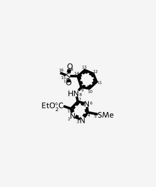 CCOC(=O)c1nnc(SC)nc1Nc1ccccc1S(C)(=O)=O